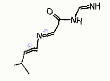 CC(C)/C=C/N=C/C(=O)NC=N